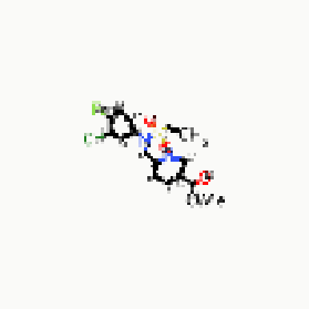 C=CS(=O)(=O)N(Cc1ccc(C(=O)OC)cn1)c1ccc(F)c(Cl)c1